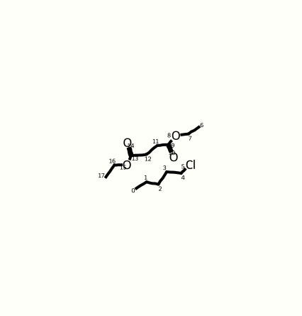 CCCCCCl.CCOC(=O)CCC(=O)OCC